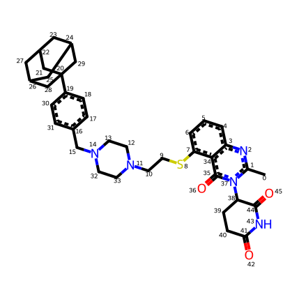 Cc1nc2cccc(SCCN3CCN(Cc4ccc(C56CC7CC(CC(C7)C5)C6)cc4)CC3)c2c(=O)n1C1CCC(=O)NC1=O